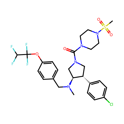 CN(Cc1ccc(OC(F)(F)C(F)F)cc1)[C@H]1CN(C(=O)N2CCN(S(C)(=O)=O)CC2)C[C@@H]1c1ccc(Cl)cc1